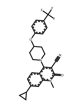 Cn1c(=O)c(C#N)c(N2CCC(Oc3ccc(C(F)(F)F)cc3)CC2)c2ccc(C3CC3)cc21